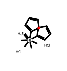 Cl.Cl.[CH3][Hf]([CH3])([CH3])([CH3])(=[SiH2])([C]1=CC=CC1)[C]1=CC=CC1